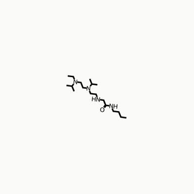 CCCCNC(=O)CNCCN(CCN(CC)C(C)C)C(C)C